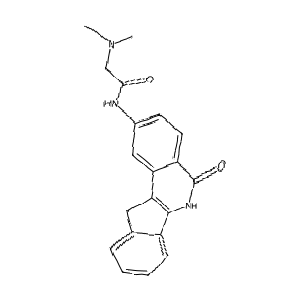 CN(C)CC(=O)Nc1ccc2c(=O)[nH]c3c(c2c1)Cc1ccccc1-3